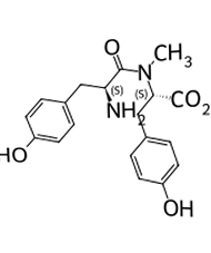 CN(C(=O)[C@@H](N)Cc1ccc(O)cc1)[C@@H](Cc1ccc(O)cc1)C(=O)O